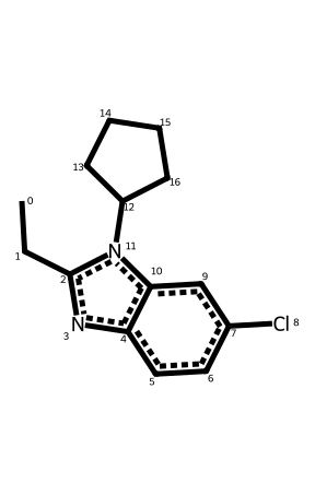 CCc1nc2ccc(Cl)cc2n1C1CCCC1